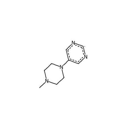 CN1CCN(c2cn[c]nc2)CC1